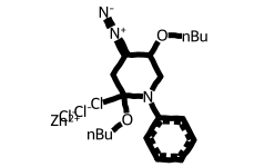 CCCCOC1CN(c2ccccc2)C(Cl)(OCCCC)CC1=[N+]=[N-].[Cl-].[Cl-].[Zn+2]